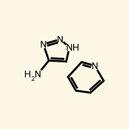 Nc1c[nH]nn1.c1ccncc1